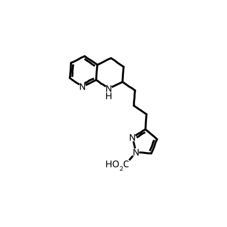 O=C(O)n1ccc(CCCC2CCc3cccnc3N2)n1